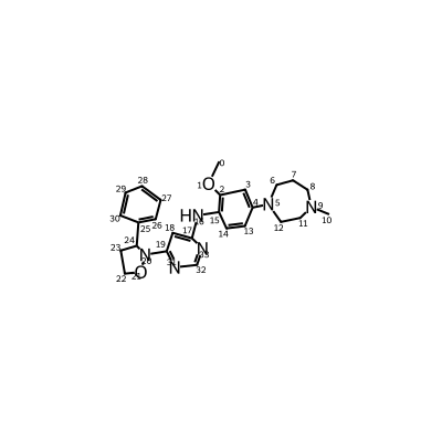 COc1cc(N2CCCN(C)CC2)ccc1Nc1cc(N2OCCC2c2ccccc2)ncn1